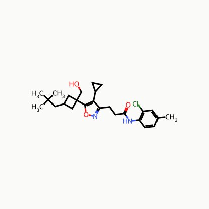 Cc1ccc(NC(=O)CCc2noc(C3(CO)CC(CC(C)(C)C)C3)c2C2CC2)c(Cl)c1